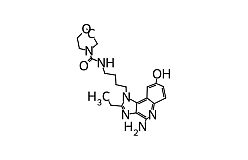 CCc1nc2c(N)nc3ccc(O)cc3c2n1CCCCNC(=O)N1CCOCC1